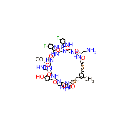 Cc1cc2cc(c1)CSC[C@@H](C(N)=O)NC(=O)[C@]1(C)CCCN1C(=O)[C@H](Cc1ccc(O)cc1)NC(=O)[C@H](Cc1c[nH]cn1)NC(=O)[C@H](CC(=O)O)NC(=O)[C@H](Cc1c[nH]c3ccc(F)cc13)NC(=O)[C@H](Cc1c[nH]c3ccc(F)cc13)NC(=O)CNC(=O)[C@H](CCCCN)NC(=O)CCSC2